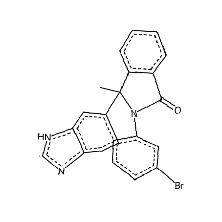 CC1(c2ccc3n[c][nH]c3c2)c2ccccc2C(=O)N1c1cccc(Br)c1